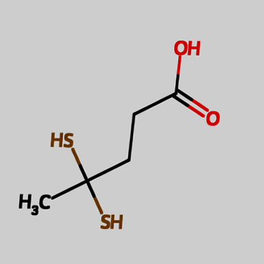 CC(S)(S)CCC(=O)O